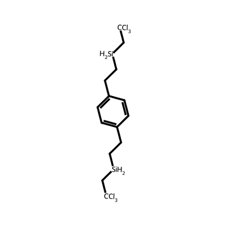 ClC(Cl)(Cl)C[SiH2]CCc1ccc(CC[SiH2]CC(Cl)(Cl)Cl)cc1